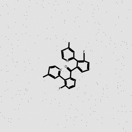 Cc1ccnc(-c2c(F)cccc2C(=O)c2cccc(F)c2-c2cc(C)ccn2)c1